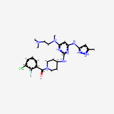 Cc1cc(Nc2cc(N(C)CCN(C)C)nc(NC3CCN(C(=O)c4cccc(Cl)c4F)CC3)n2)n[nH]1